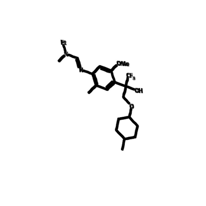 CCN(C)C=Nc1cc(OC)c(C(O)(COC2CCC(C)CC2)C(F)(F)F)cc1C